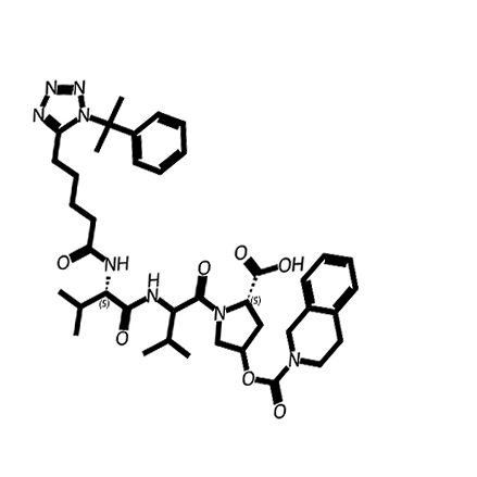 CC(C)C(NC(=O)[C@@H](NC(=O)CCCCc1nnnn1C(C)(C)c1ccccc1)C(C)C)C(=O)N1CC(OC(=O)N2CCc3ccccc3C2)C[C@H]1C(=O)O